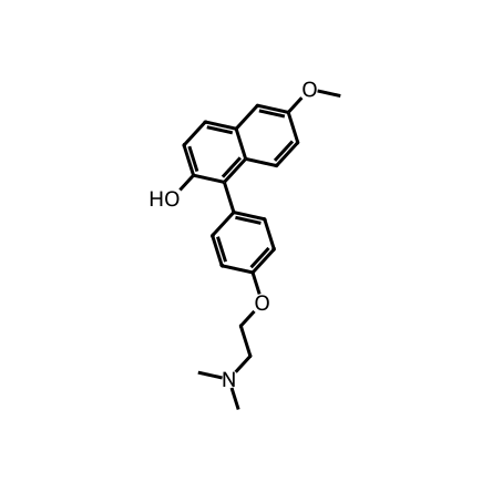 COc1ccc2c(-c3ccc(OCCN(C)C)cc3)c(O)ccc2c1